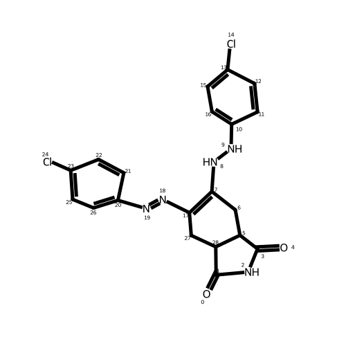 O=C1NC(=O)C2CC(NNc3ccc(Cl)cc3)=C(N=Nc3ccc(Cl)cc3)CC12